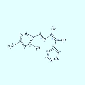 N#CC(/N=N/c1ccc([N+](=O)[O-])cc1C#N)=C(\O)c1ccccc1